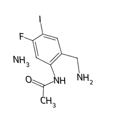 CC(=O)Nc1cc(F)c(I)cc1CN.N